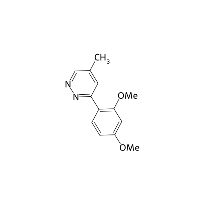 COc1ccc(-c2cc(C)cnn2)c(OC)c1